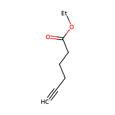 C#CCCCC(=O)OCC